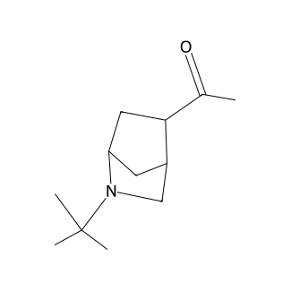 CC(=O)C1CC2CC1CN2C(C)(C)C